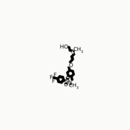 CN(CC=CCOCC1CCC(CN(C)S(=O)(=O)c2ccc(C(F)(F)F)cc2)CC1)CCO